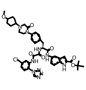 COC1CCC(N2CCN(c3ccc(C[C@H](NC(=O)C(=O)Nc4cc(Cl)ccc4-n4cnnn4)C(=O)Nc4ccc5[nH]c(C(=O)OC(C)(C)C)cc5c4)cc3)C(=O)C2)CC1